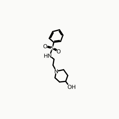 O=S(=O)(NCCN1CCC(O)CC1)c1ccccc1